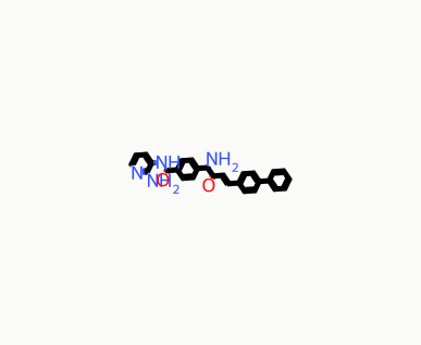 Nc1ncccc1NC(=O)c1ccc(C(N)C(=O)/C=C/c2ccc(-c3ccccc3)cc2)cc1